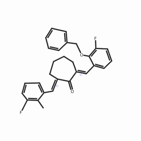 Cc1c(F)cccc1/C=C1\CCCC/C(=C\c2cccc(F)c2OCc2ccccc2)C1=O